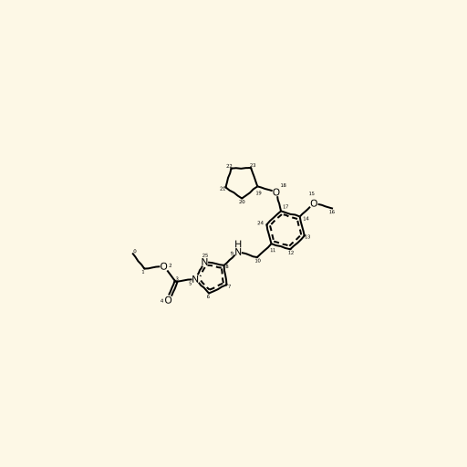 CCOC(=O)n1ccc(NCc2ccc(OC)c(OC3CCCC3)c2)n1